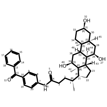 C[C@H](CCC(=O)Nc1ccc(C(=O)c2ccccc2)cc1)[C@H]1CC[C@H]2[C@@H]3[C@H](O)C[C@@H]4C[C@H](O)CC[C@]4(C)[C@H]3C[C@H](O)[C@]12C